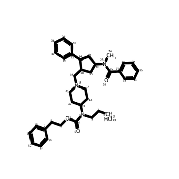 CCCN(C(=O)OCCc1ccccc1)C1CCN(CC2CC(N(C)C(=O)c3ccccc3)CC2c2ccccc2)CC1.Cl